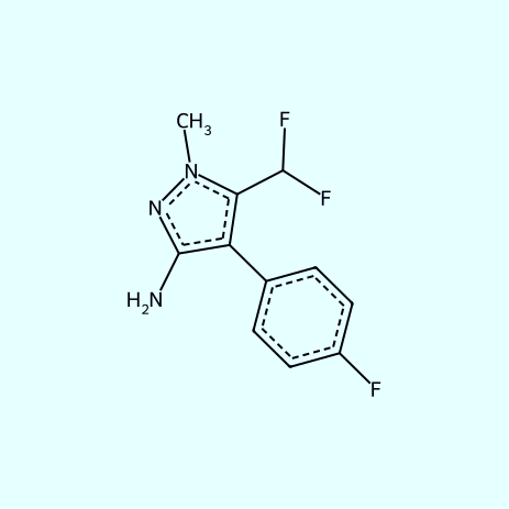 Cn1nc(N)c(-c2ccc(F)cc2)c1C(F)F